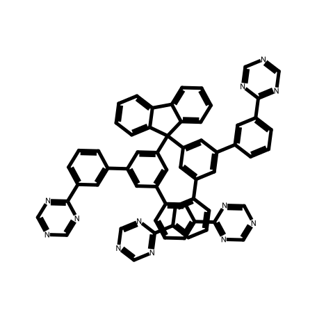 c1cc(-c2cc(-c3cccc(-c4ncncn4)c3)cc(C3(c4cc(-c5cccc(-c6ncncn6)c5)cc(-c5cccc(-c6ncncn6)c5)c4)c4ccccc4-c4ccccc43)c2)cc(-c2ncncn2)c1